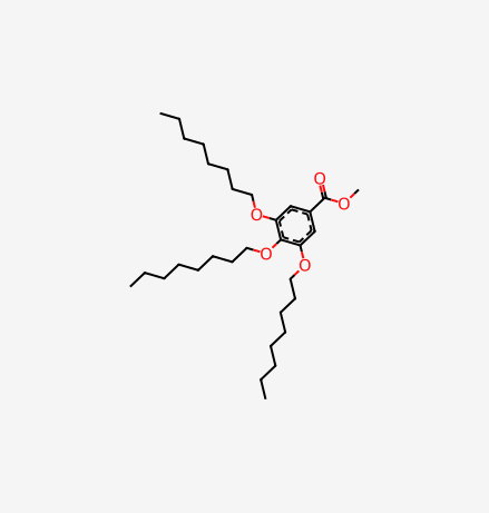 CCCCCCCCOc1cc(C(=O)OC)cc(OCCCCCCCC)c1OCCCCCCCC